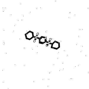 O=S(=O)(c1ccc(S(=O)(=O)C2CCCCC2)nc1)C1CCCCC1